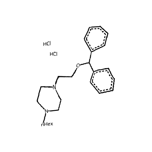 CCCCCCN1CCN(CCOC(c2ccccc2)c2ccccc2)CC1.Cl.Cl